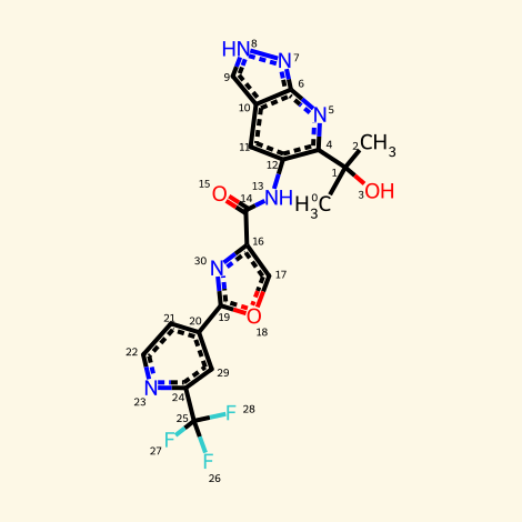 CC(C)(O)c1nc2n[nH]cc2cc1NC(=O)c1coc(-c2ccnc(C(F)(F)F)c2)n1